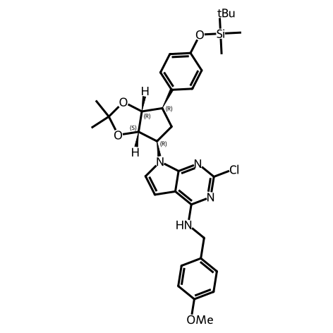 COc1ccc(CNc2nc(Cl)nc3c2ccn3[C@@H]2C[C@H](c3ccc(O[Si](C)(C)C(C)(C)C)cc3)[C@H]3OC(C)(C)O[C@H]32)cc1